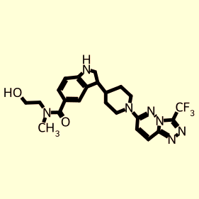 CN(CCO)C(=O)c1ccc2c(c1)C(C1CCN(c3ccc4nnc(C(F)(F)F)n4n3)CC1)CN2